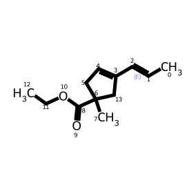 C/C=C/C1=CCC(C)(C(=O)OCC)C1